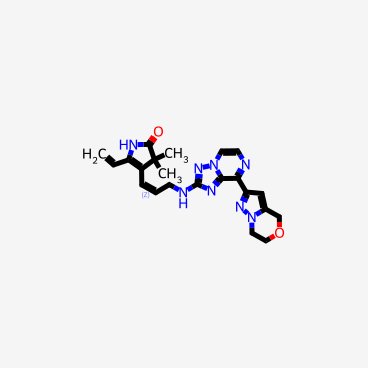 C=CC1=C(/C=C\CNc2nc3c(-c4cc5n(n4)CCOC5)nccn3n2)C(C)(C)C(=O)N1